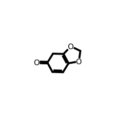 O=C1C=CC2=C(C1)OCO2